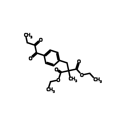 CCOC(=O)C(C)(Cc1ccc(C(=O)C(=O)CC)cc1)C(=O)OCC